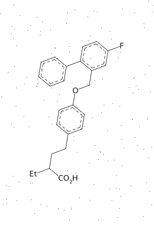 CCC(CCc1ccc(OCc2cc(F)ccc2-c2ccccc2)cc1)C(=O)O